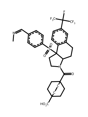 C/N=C\c1ccc(S(=O)(=O)C23CCN(C(=O)C45CCC(C(=O)O)(CC4)CC5)C2CCc2cc(C(F)(C(F)(F)F)C(F)(F)F)ccc23)cc1